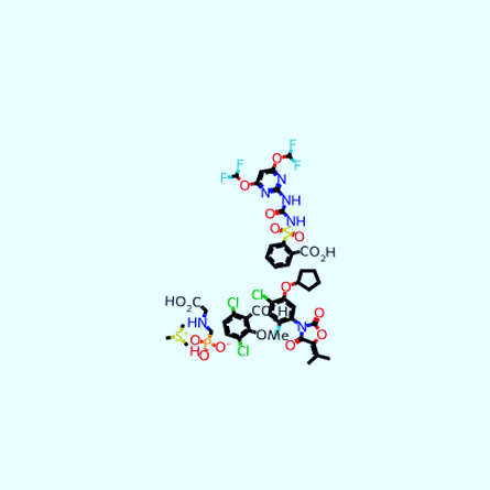 CC(C)=C1OC(=O)N(c2cc(OC3CCCC3)c(Cl)cc2F)C1=O.COc1c(Cl)ccc(Cl)c1C(=O)O.C[S+](C)C.O=C(Nc1nc(OC(F)F)cc(OC(F)F)n1)NS(=O)(=O)c1ccccc1C(=O)O.O=C(O)CNCP(=O)([O-])O